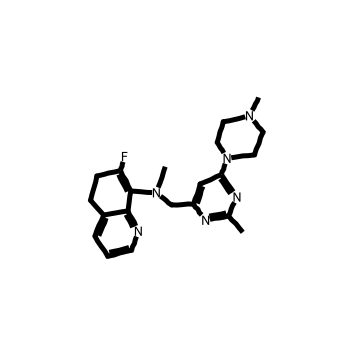 Cc1nc(CN(C)C2=C(F)CCc3cccnc32)cc(N2CCN(C)CC2)n1